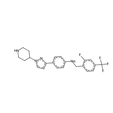 Fc1cc(C(F)(F)F)ccc1CNc1ccc(-c2ccn(C3CCNCC3)n2)cc1